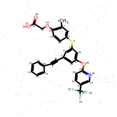 Cc1cc(Sc2cc(C#Cc3ccccc3)cc(Oc3ccc(C(F)(F)F)cn3)c2)ccc1OCC(=O)O